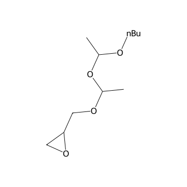 CCCCOC(C)OC(C)OCC1CO1